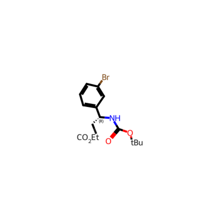 CCOC(=O)C[C@@H](NC(=O)OC(C)(C)C)c1cccc(Br)c1